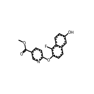 COC(=O)c1ccc(Oc2ccc3cc(O)ccc3c2F)nc1